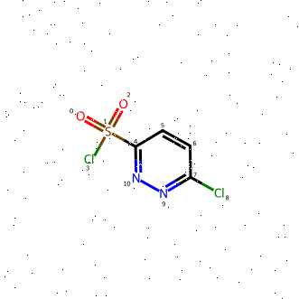 O=S(=O)(Cl)c1ccc(Cl)nn1